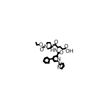 CCOC(=O)N1CCN(C(=O)C(CCC(=O)O)NC(=O)c2cc(-c3ccccc3)cc(-n3cccn3)n2)CC1